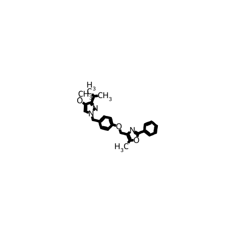 COc1cn(Cc2ccc(OCc3nc(-c4ccccc4)oc3C)cc2)nc1C(C)C